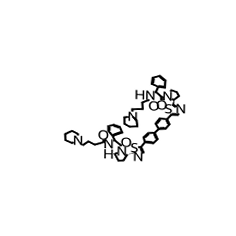 O=C(CCCN1CCCCC1)N[C@@H](C(=O)N1CCC[C@H]1c1ncc(-c2ccc(-c3ccc(-c4cnc([C@@H]5CCCN5C(=O)[C@H](NC(=O)CCCN5CCCCC5)c5ccccc5)s4)cc3)cc2)s1)c1ccccc1